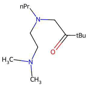 CCCN(CCN(C)C)CC(=O)C(C)(C)C